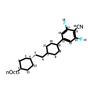 CCCCCCCC[C@H]1CC[C@H](CCC2CCC(c3cc(F)c(C#N)c(F)c3)CC2)CC1